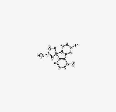 NC1=N[C@@](c2ccc(F)cc2)(c2cccc(Br)c2)CO1